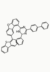 c1ccc(-c2ccc(C3=NC(c4ccccc4)NC(c4cccc5oc6ccc(-c7cccc8c7sc7ccccc78)cc6c45)=N3)cc2)cc1